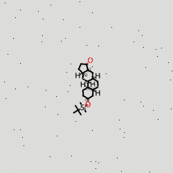 CC(C)(C)[Si](C)(C)O[C@H]1CC[C@@H]2[C@H](CC[C@@H]3C[C@]4(C)C(=O)CC[C@H]4C[C@H]32)C1